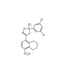 O=C(O)c1ccc(C2=NOC(c3cc(Cl)cc(Cl)c3)(C(F)(F)F)C2)c2c1CCCC2